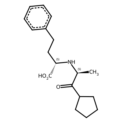 C[C@H](N[C@@H](CCc1ccccc1)C(=O)O)C(=O)C1CCCC1